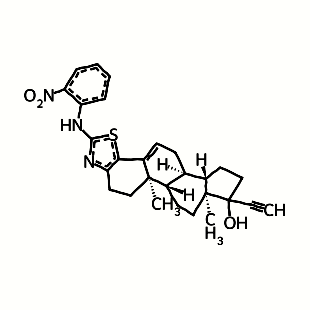 C#CC1(O)CC[C@H]2[C@@H]3CC=C4c5sc(Nc6ccccc6[N+](=O)[O-])nc5CC[C@]4(C)[C@H]3CC[C@@]21C